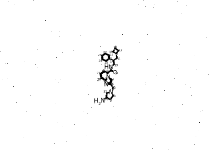 N[C@@H]1CCN(Cc2cn3c(C(=O)NCC(CC4CCC4)c4ccccc4)cccc3n2)C1